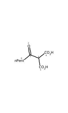 CCCCCC(=O)C(C(=O)O)C(=O)O